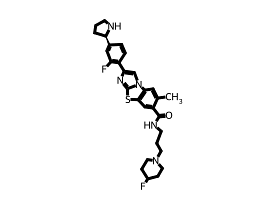 Cc1cc2c(cc1C(=O)NCCCN1CCC(F)CC1)sc1nc(-c3ccc([C@H]4CCCN4)cc3F)cn12